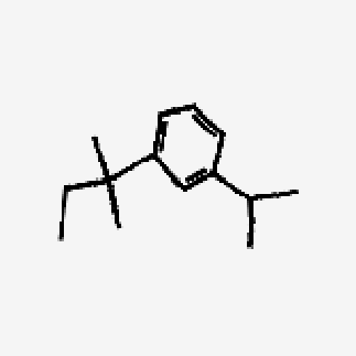 CCC(C)(C)c1cccc(C(C)C)c1